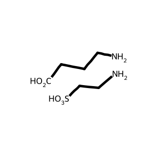 NCCCC(=O)O.NCCS(=O)(=O)O